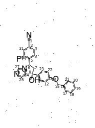 N#Cc1ccc([C@H]2C[C@](O)(c3ccc(OCc4ccccc4)cc3)c3cncn32)c(F)c1